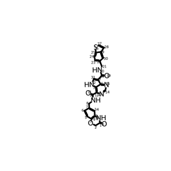 O=C1COc2ccc(CNC(=O)c3ncnc4c(C(=O)NCc5ccc6sccc6c5)c[nH]c34)cc2N1